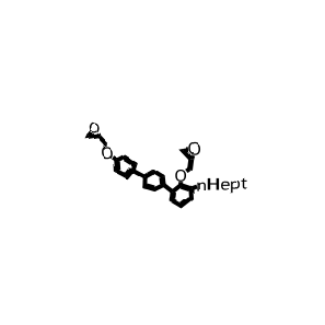 CCCCCCCc1cccc(C2=CCC(c3ccc(OCC4CO4)cc3)C=C2)c1OCC1CO1